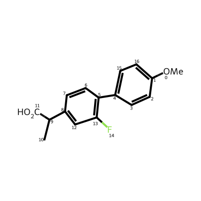 COc1ccc(-c2ccc(C(C)C(=O)O)cc2F)cc1